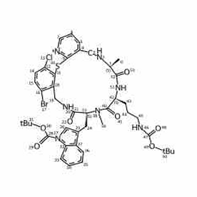 C[C@@H]1NCc2cccnc2Sc2c(Cl)ccc(Br)c2CNC(=O)[C@H](Cc2cn(C(=O)OC(C)(C)C)c3ccccc23)N(C)C(=O)[C@H](CCCNC(=O)OC(C)(C)C)NC1=O